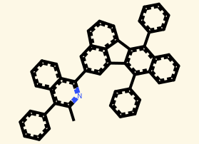 Cc1nc(-c2cc3c4c(cccc4c2)-c2c-3c(-c3ccccc3)c3ccccc3c2-c2ccccc2)c2ccccc2c1-c1ccccc1